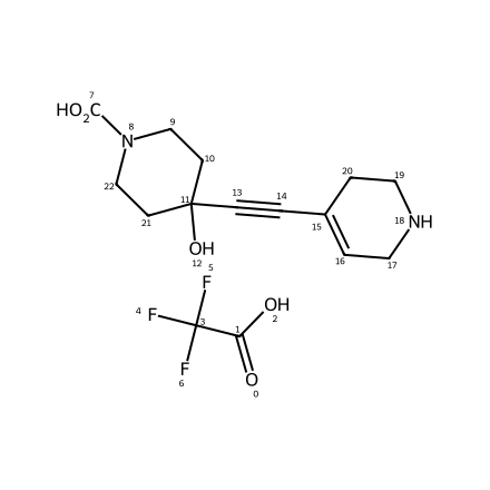 O=C(O)C(F)(F)F.O=C(O)N1CCC(O)(C#CC2=CCNCC2)CC1